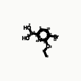 CCOc1nc(B(O)O)ccc1Br